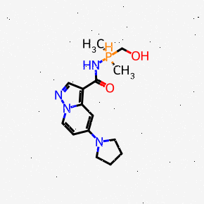 C[PH](C)(CO)NC(=O)c1cnn2ccc(N3CCCC3)cc12